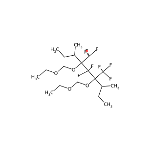 CCOCOC(C(C)CC)(C(F)(F)F)C(F)(F)C(OCOCC)(C(C)CC)C(F)(F)F